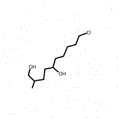 CC(CO)CCC(O)CCCCCCl